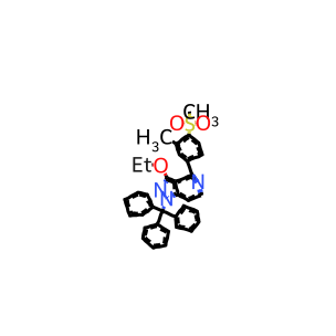 CCOc1nn(C(c2ccccc2)(c2ccccc2)c2ccccc2)c2ccnc(-c3ccc(S(C)(=O)=O)c(C)c3)c12